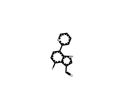 O=Cc1c[nH]c2c(-c3ccccn3)ccc(F)c12